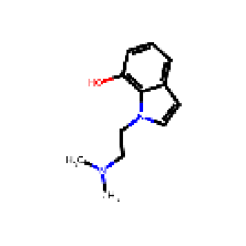 CN(C)CCn1ccc2cccc(O)c21